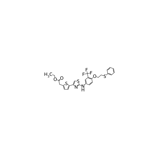 CCOC(=O)Cc1ccc(-c2csc(Nc3ccc(OCCSc4ccccc4)c(C(F)(F)F)c3)n2)s1